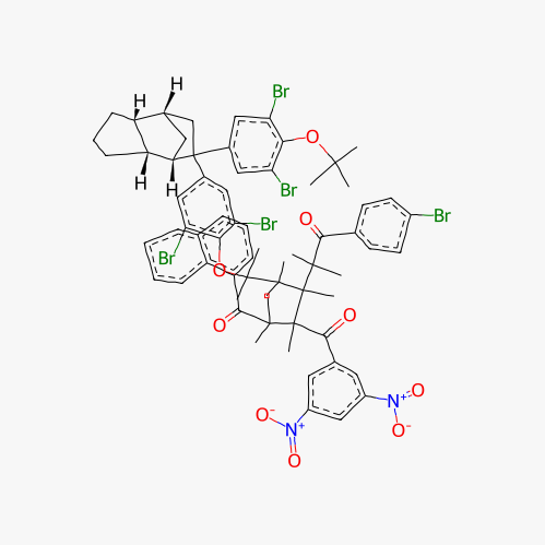 CC(C)(C)Oc1c(Br)cc(C2(c3cc(Br)c(OC(C)(C)C(C)(C)C(C)(C(C)(C)C(=O)c4ccc(Br)cc4)C(C)(C(=O)c4cc([N+](=O)[O-])cc([N+](=O)[O-])c4)C(C)(C)C(=O)c4cccc5ccccc45)c(Br)c3)C[C@@H]3C[C@H]2[C@@H]2CCC[C@H]32)cc1Br